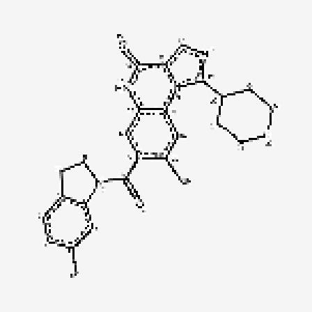 Cc1ccc2c(c1)N(C(=O)c1cc3[nH]c(=O)c4cnc(C5CCOCC5)n4c3cc1C)CC2